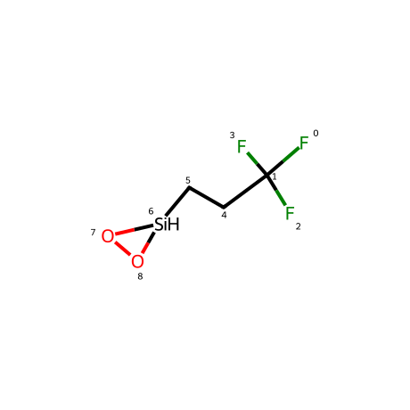 FC(F)(F)CC[SiH]1OO1